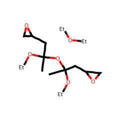 CCOC(C)(CC1CO1)OC(C)(CC1CO1)OCC.CCOCC